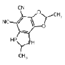 CC1Oc2c(C#N)c(C#N)c3c(c2O1)PC(C)P3